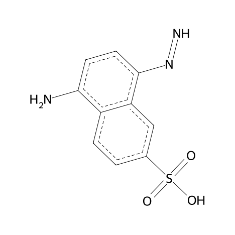 N=Nc1ccc(N)c2ccc(S(=O)(=O)O)cc12